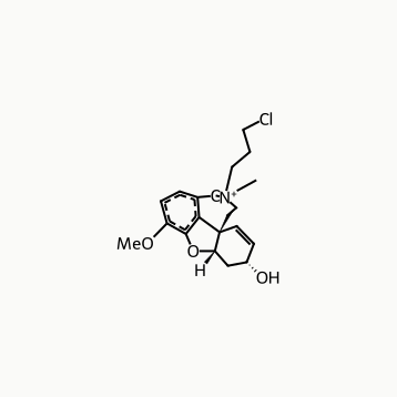 COc1ccc2c3c1O[C@H]1C[C@@H](O)C=C[C@@]31CC[N+](C)(CCCCl)C2